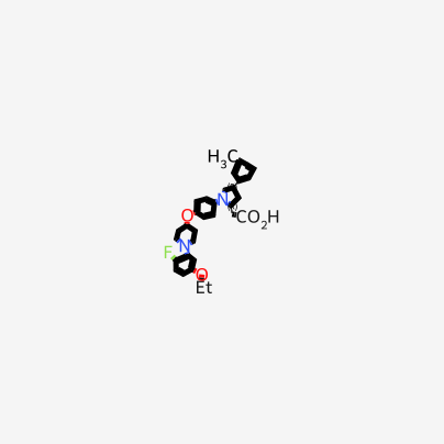 CCOc1ccc(F)c(N2CCC(Oc3ccc(N4C[C@H](c5cccc(C)c5)C[C@@H]4CC(=O)O)cc3)CC2)c1